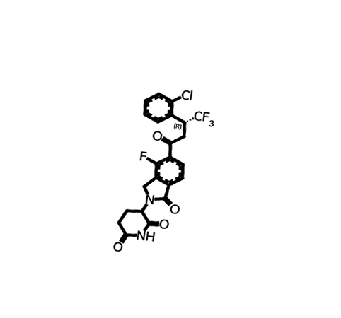 O=C1CCC(N2Cc3c(ccc(C(=O)C[C@H](c4ccccc4Cl)C(F)(F)F)c3F)C2=O)C(=O)N1